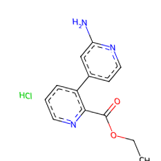 CCOC(=O)c1ncccc1-c1ccnc(N)c1.Cl